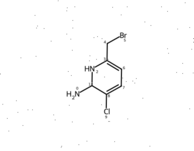 NC1NC(CBr)=CC=C1Cl